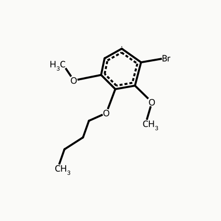 CCCCOc1c(OC)c[c]c(Br)c1OC